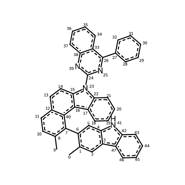 Cc1cc2c(cc1-c1c(C)ccc3ccc4c(c5ccccc5n4-c4nc(-c5ccccc5)c5ccccc5n4)c13)[nH]c1ccccc12